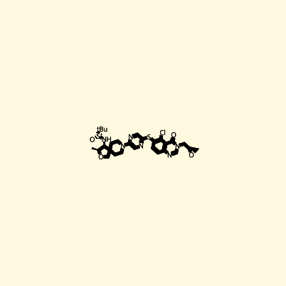 C[C@@H]1OCC2(CCN(c3cnc(Sc4ccc5ncn(CC6CO6)c(=O)c5c4Cl)cn3)CC2)[C@@H]1N[S+]([O-])C(C)(C)C